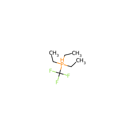 CC[PH](CC)(CC)C(F)(F)F